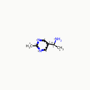 Cc1ncc([C@H](C)N)cn1